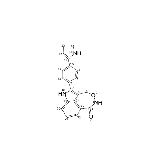 O=C1NOCc2c(-c3ccc(C4=CCCN4)cc3)[nH]c3cccc1c23